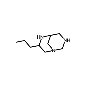 CCCC1CN2CNCC(C2)N1